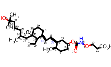 C=C1CC[C@H](OC(=O)NOCCC(=O)O)C/C1=C/C=C1\CCC[C@@]2(C)C1CC[C@@H]2[C@@H](C)CCCC(C)(C)O